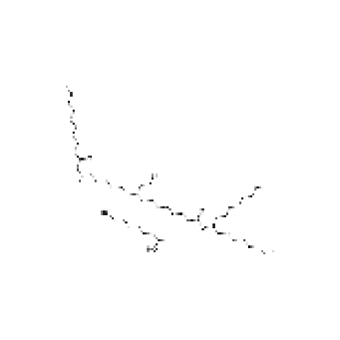 CC(O)CCCCCCO.CCCCCCCCCC(=O)OC(C)CCCCCCN(CCO)CCCCCCCC(=O)OC(CCCCCCCC)CCCCCCCC